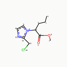 CCCC(C(=O)OC)n1ccnc1CCl